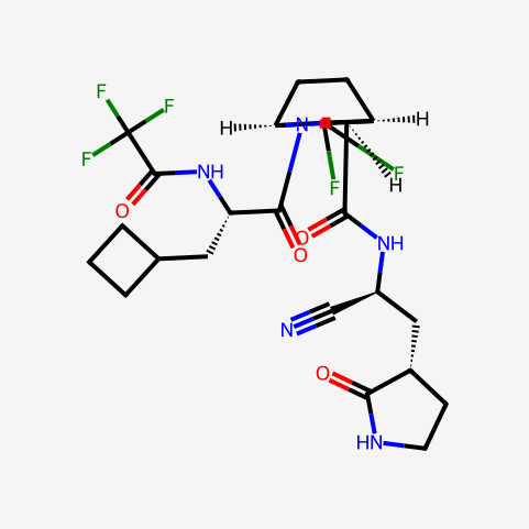 N#C[C@H](C[C@@H]1CCNC1=O)NC(=O)[C@@H]1[C@@H]2CC[C@@H](CC2(F)F)N1C(=O)[C@H](CC1CCC1)NC(=O)C(F)(F)F